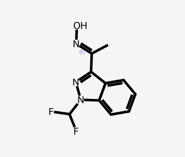 C/C(=N\O)c1nn(C(F)F)c2ccccc12